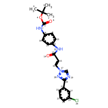 CC(C)(C)OC(=O)Nc1ccc(NC(=O)/C=C/n2cnc(-c3cccc(Cl)c3)n2)cc1